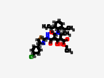 CCOC(=O)c1c(O)c(C(=O)Nc2nc(-c3ccc(Cl)cc3)cs2)c(=O)n(-c2c(CC)cccc2CC)c1C